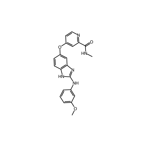 CNC(=O)c1cc(Oc2ccc3[nH]c(Nc4cccc(OC)c4)nc3c2)ccn1